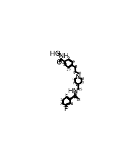 O=C(NO)c1ccc(CCCN2CCC(CNC3CC3c3cccc(F)c3)CC2)cc1